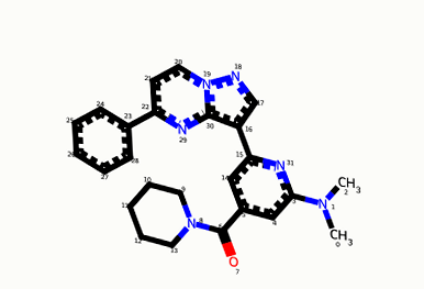 CN(C)c1cc(C(=O)N2CCCCC2)cc(-c2cnn3ccc(-c4ccccc4)nc23)n1